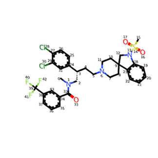 CN(C[C@@H](CCN1CCC2(CC1)CN(S(C)(=O)=O)c1ccccc12)c1ccc(Cl)c(Cl)c1)C(=O)c1cccc(C(F)(F)F)c1